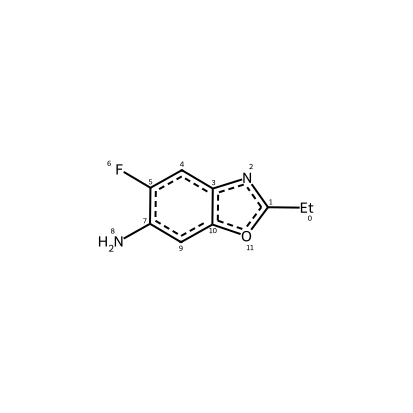 CCc1nc2cc(F)c(N)cc2o1